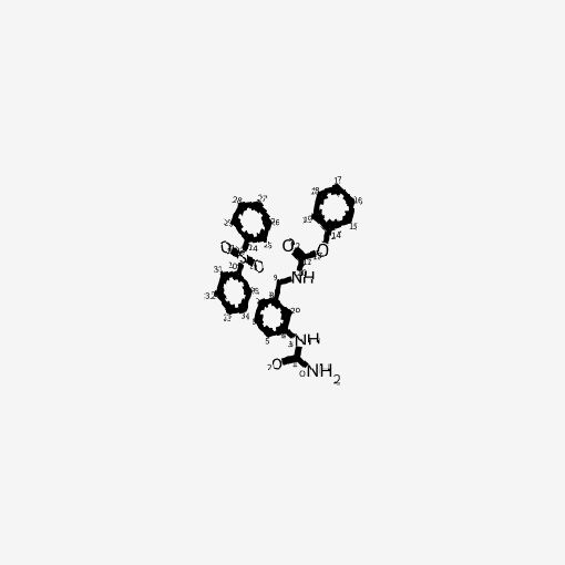 NC(=O)Nc1cccc(CNC(=O)Oc2ccccc2)c1.O=S(=O)(c1ccccc1)c1ccccc1